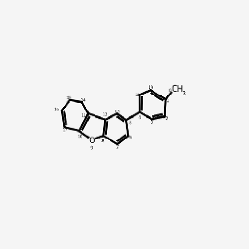 Cc1ccc(-c2ccc3oc4c(c3c2)CCC=C4)cc1